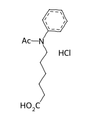 CC(=O)N(CCCCCC(=O)O)c1ccccc1.Cl